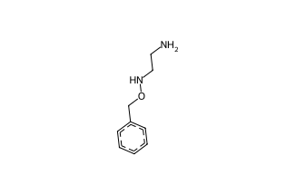 NCCNOCc1ccccc1